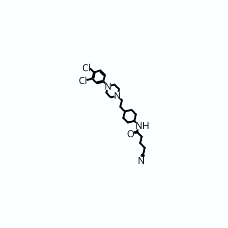 N#CCCCC(=O)NC1CCC(CCN2CCN(c3ccc(Cl)c(Cl)c3)CC2)CC1